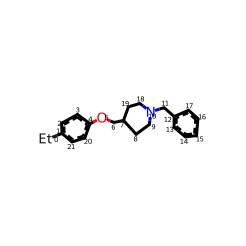 CCc1ccc(OCC2CCN(Cc3ccccc3)CC2)cc1